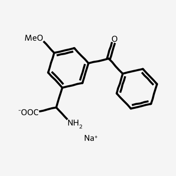 COc1cc(C(=O)c2ccccc2)cc(C(N)C(=O)[O-])c1.[Na+]